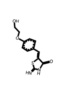 N=C1NC(=O)C(=Cc2ccc(OCCO)cc2)S1